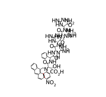 N=C(N)NC(NC(=O)C(NC(=N)N)NC(=O)C(NC(=N)N)NC(=O)C(NC(=N)N)NC(=O)C(NC(=O)C(CO)N(Cc1c2ccccc2cc2ccccc12)c1ccc([N+](=O)[O-])cc1C(=O)O)c1ccccc1)C(N)=O